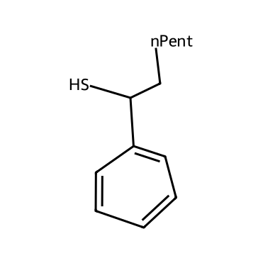 CCCCCCC(S)c1ccccc1